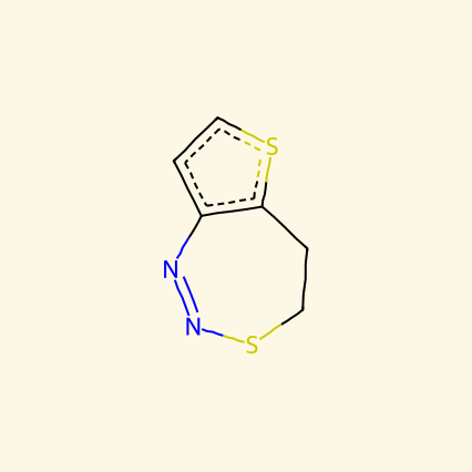 c1cc2c(s1)CCSN=N2